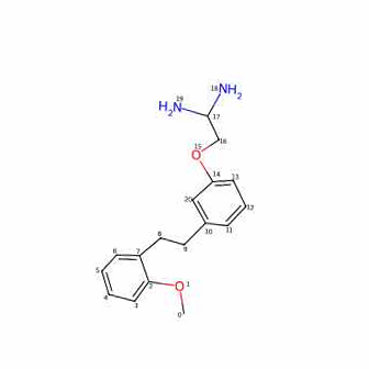 COc1ccccc1CCc1cccc(OCC(N)N)c1